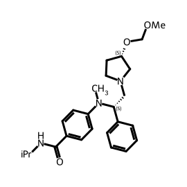 COCO[C@H]1CCN(C[C@H](c2ccccc2)N(C)c2ccc(C(=O)NC(C)C)cc2)C1